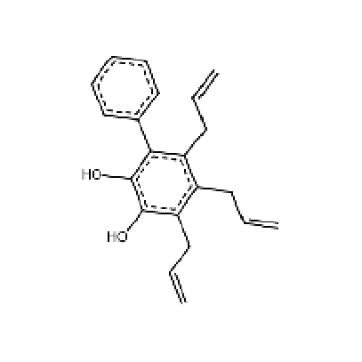 C=CCc1c(O)c(O)c(-c2ccccc2)c(CC=C)c1CC=C